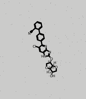 N#Cc1ccccc1-c1ccc(-c2nc3nc(O[C@@H]4CO[C@H]5[C@@H]4OC[C@H]5O)[nH]c3cc2Cl)cc1